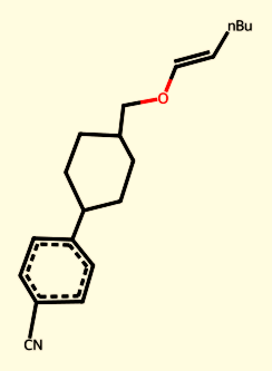 CCCC/C=C/OCC1CCC(c2ccc(C#N)cc2)CC1